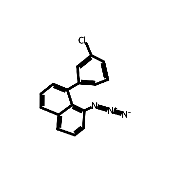 [N-]=[N+]=Nc1cccc2cccc(-c3cccc(Cl)c3)c12